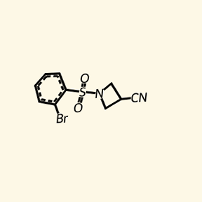 N#CC1CN(S(=O)(=O)c2ccccc2Br)C1